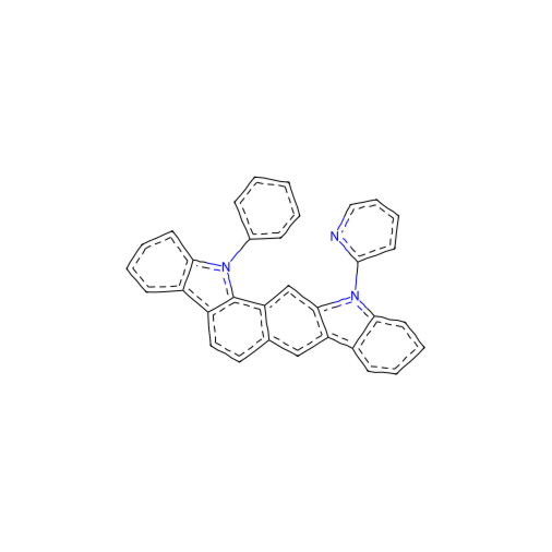 c1ccc(-n2c3ccccc3c3ccc4cc5c6ccccc6n(-c6ccccn6)c5cc4c32)cc1